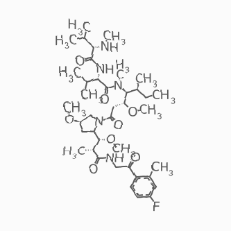 CC[C@H](C)[C@@H]([C@@H](CC(=O)N1C[C@H](OC)CC1[C@H](OC)[C@@H](C)C(=O)NCC(=O)c1ccc(F)cc1C)OC)N(C)C(=O)[C@@H](NC(=O)[C@@H](NC)C(C)C)C(C)C